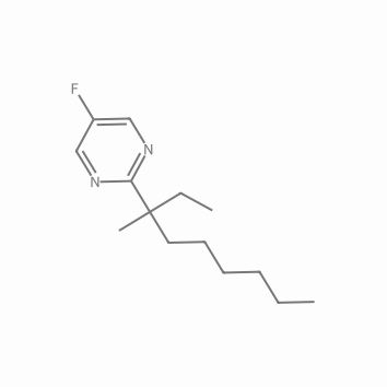 CCCCCCC(C)(CC)c1ncc(F)cn1